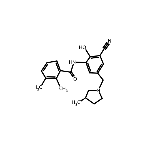 Cc1cccc(C(=O)Nc2cc(CN3CC[C@@H](C)C3)cc(C#N)c2O)c1C